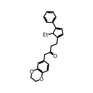 CCC1C(CCC(=O)Cc2ccc3c(c2)OCCO3)=CC=C1c1ccccc1